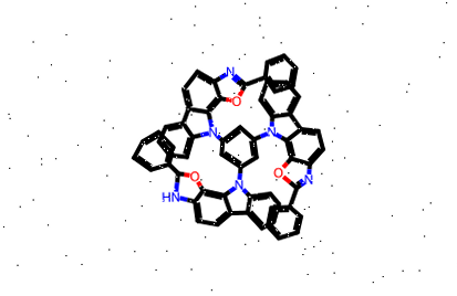 c1ccc(-c2nc3ccc4c5ccccc5n(-c5cc(-n6c7ccccc7c7ccc8c(c76)OC(c6ccccc6)N8)cc(-n6c7ccccc7c7ccc8nc(-c9ccccc9)oc8c76)c5)c4c3o2)cc1